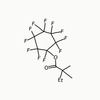 CCC(C)(C)C(=O)OC1(F)C(F)(F)C(F)(F)C(F)(F)C(F)(F)C1(F)F